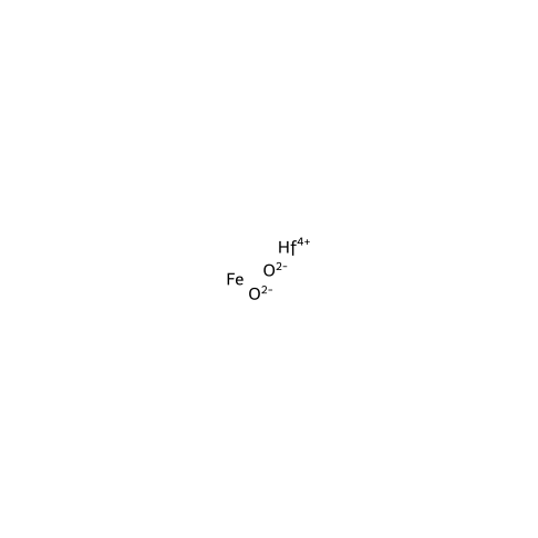 [Fe].[Hf+4].[O-2].[O-2]